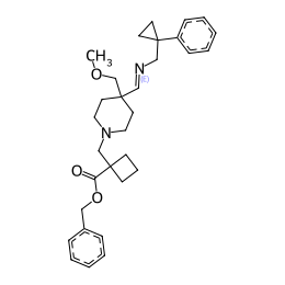 COCC1(/C=N/CC2(c3ccccc3)CC2)CCN(CC2(C(=O)OCc3ccccc3)CCC2)CC1